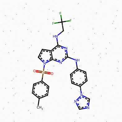 Cc1ccc(S(=O)(=O)n2ccc3c(NCC(F)(F)F)nc(Nc4ccc(-n5cncn5)cc4)nc32)cc1